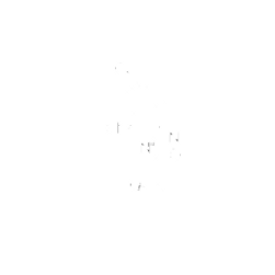 Clc1ccc(-c2noc(-c3ccco3)n2)c(Cl)c1